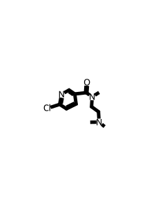 CN(C)CCN(C)C(=O)c1ccc(Cl)nc1